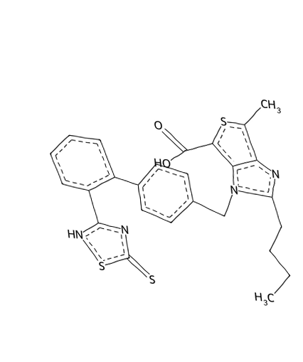 CCCCc1nc2c(C)sc(C(=O)O)c2n1Cc1ccc(-c2ccccc2-c2nc(=S)s[nH]2)cc1